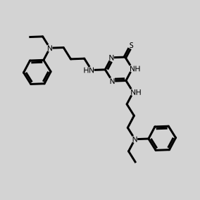 CCN(CCCNc1nc(NCCCN(CC)c2ccccc2)[nH]c(=S)n1)c1ccccc1